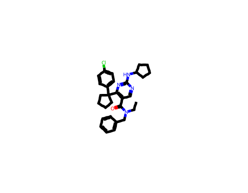 CCN(Cc1ccccc1)C(=O)c1cnc(NC2CCCC2)nc1C1(c2ccc(Cl)cc2)CCCC1